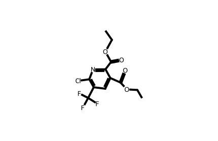 CCOC(=O)c1cc(C(F)(F)F)c(Cl)nc1C(=O)OCC